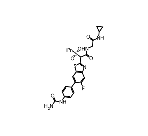 CC(C)S(=O)(=O)C(C(=O)NCC(=O)NC1CC1)c1nc2cc(F)c(-c3ccc(NC(N)=O)cc3)cc2s1